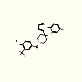 COc1ccc(C(=O)N2CCC3(CC2)Oc2cc(F)ccc2-n2cccc23)cc1C(F)(F)F